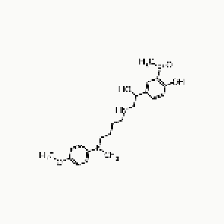 COc1ccc(N(C)CCCCNCC(O)c2ccc(O)c([S+](C)[O-])c2)cc1